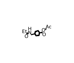 CCC(=O)NCc1ccc(C(=O)OCC(C)=O)cc1